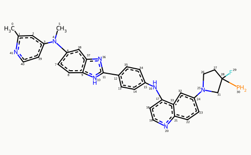 Cc1cc(N(C)c2ccc3[nH]c(-c4ccc(Nc5ccnc6ccc(N7CCC(F)(P)C7)cc56)cc4)nc3c2)ccn1